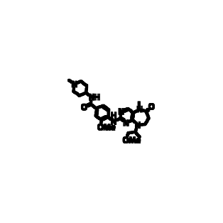 COCC(C)N1CCC(=O)N(C)c2cnc(Nc3ccc(C(=O)NC4CCN(C)CC4)cc3OC)nc21